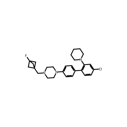 FC12CC(CN3CCN(c4ccc(-c5ccc(Cl)cc5N5CCCCC5)cc4)CC3)(C1)C2